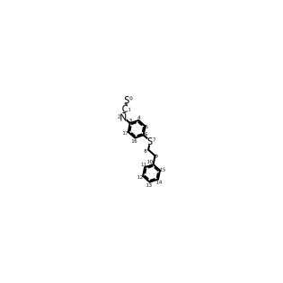 S=C=Nc1ccc(SCCc2ccccc2)cc1